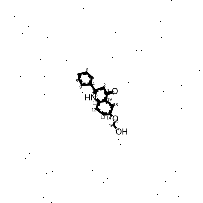 O=c1cc(-c2ccccc2)[nH]c2ccc(OCO)cc12